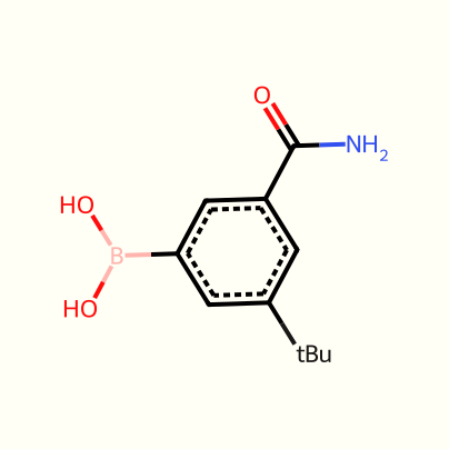 CC(C)(C)c1cc(B(O)O)cc(C(N)=O)c1